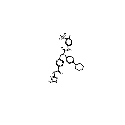 Cc1ccc(NC(=O)N(Cc2ccc(C(=O)Nc3nn[nH]n3)cc2)c2ccc(C3CCCCC3)cc2)cc1S(C)(=O)=O